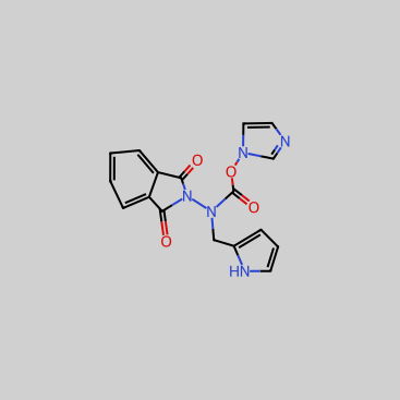 O=C(On1ccnc1)N(Cc1ccc[nH]1)N1C(=O)c2ccccc2C1=O